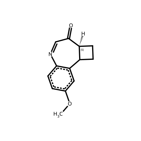 COc1ccc2c(c1)C1CC[C@@H]1C(=O)C=N2